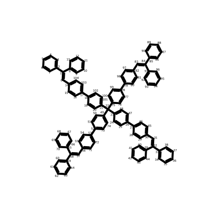 C(=C(c1ccccc1)c1ccccc1)c1ccc(-c2ccc(C(c3ccc(-c4ccc(C=C(c5ccccc5)c5ccccc5)cc4)cc3)(c3ccc(-c4ccc(C=C(c5ccccc5)c5ccccc5)cc4)cc3)c3ccc(-c4ccc(C=C(c5ccccc5)c5ccccc5)cc4)cc3)cc2)cc1